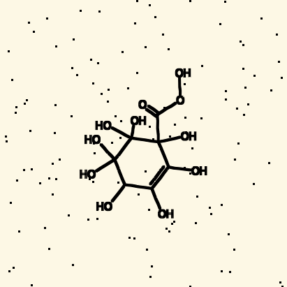 O=C(OO)C1(O)C(O)=C(O)C(O)C(O)(O)C1(O)O